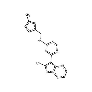 Cc1ccc(CNc2cc(-c3c(N)nn4cccnc34)ncn2)o1